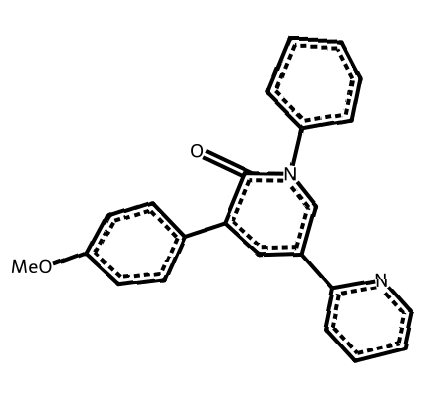 COc1ccc(-c2cc(-c3ccccn3)cn(-c3ccccc3)c2=O)cc1